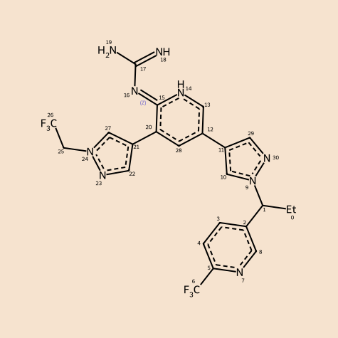 CCC(c1ccc(C(F)(F)F)nc1)n1cc(-c2c[nH]/c(=N\C(=N)N)c(-c3cnn(CC(F)(F)F)c3)c2)cn1